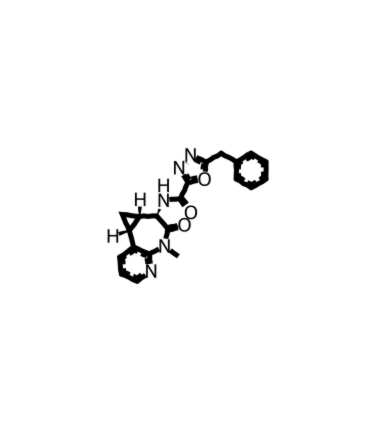 CN1C(=O)[C@@H](NC(=O)c2nnc(Cc3ccccc3)o2)[C@H]2C[C@H]2c2cccnc21